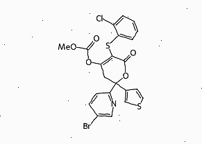 COC(=O)OC1=C(Sc2ccccc2Cl)C(=O)OC(c2ccsc2)(c2ccc(Br)cn2)C1